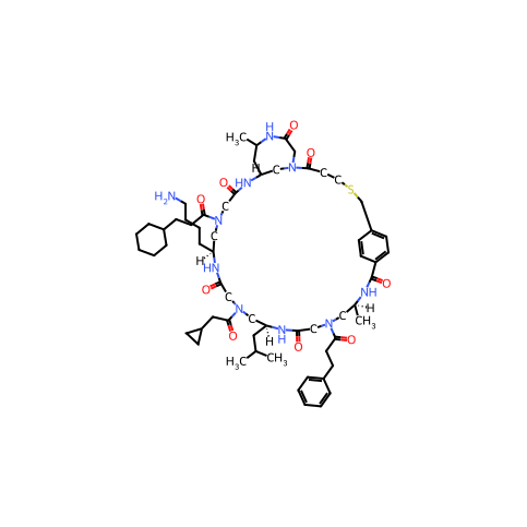 CC(C)C[C@H]1CN(C(=O)CC2CC2)CC(=O)N[C@@H](CCCCN)CN(C(=O)CCC2CCCCC2)CC(=O)N[C@H]2CC(C)NC(=O)CN(C2)C(=O)CCSCc2ccc(cc2)C(=O)N[C@@H](C)CN(C(=O)CCc2ccccc2)CC(=O)N1